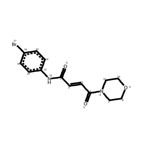 O=C(C=CC(=O)N1CCOCC1)Nc1ccc(Br)cc1